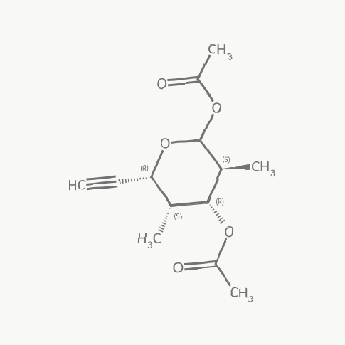 C#C[C@@H]1OC(OC(C)=O)[C@@H](C)[C@H](OC(C)=O)[C@@H]1C